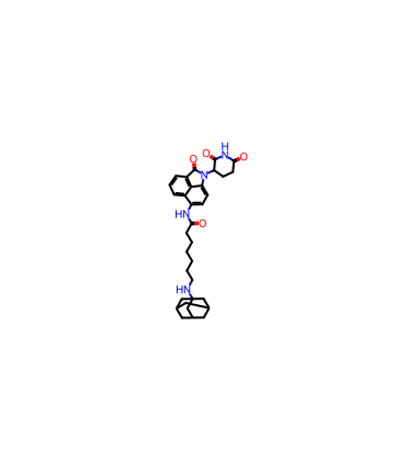 O=C1CCC(N2C(=O)c3cccc4c(NC(=O)CCCCCCNC56CC7CC(CC(C7)C5)C6)ccc2c34)C(=O)N1